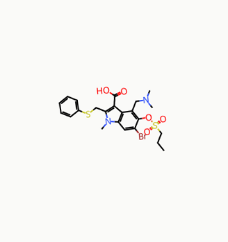 CCCS(=O)(=O)Oc1c(Br)cc2c(c1CN(C)C)c(C(=O)O)c(CSc1ccccc1)n2C